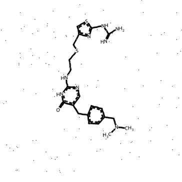 CN(C)Cc1ccc(Cc2cnc(NCCSCc3csc(NC(=N)N)n3)[nH]c2=O)cc1